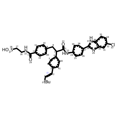 CC(C)(C)/C=C/c1ccc(C(Cc2ccc(C(=O)NCCS(=O)(=O)O)cc2)C(=O)Nc2ccc(-c3nc4cc(Cl)ccc4[nH]3)cc2)cc1